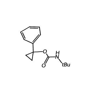 CC(C)(C)NC(=O)OC1(c2ccccc2)CC1